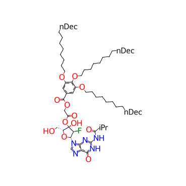 CCCCCCCCCCCCCCCCCCOc1cc(C(=O)OCC(=O)O[C@@]2(O)[C@@H](CO)O[C@@H](n3cnc4c(=O)[nH]c(NC(=O)C(C)C)nc43)[C@@H]2F)cc(OCCCCCCCCCCCCCCCCCC)c1OCCCCCCCCCCCCCCCCCC